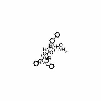 CC(NC(=O)[C@H](Cc1ccccc1)NC(=O)Cc1ccccc1)C(=O)C(=O)N[C@@H](Cc1ccc(-c2ccccc2)cc1)C(=O)NC(C)(C)C(N)=O